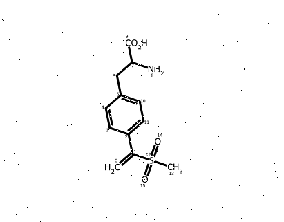 C=C(c1ccc(CC(N)C(=O)O)cc1)S(C)(=O)=O